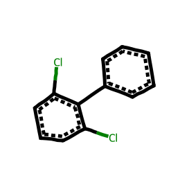 Clc1cccc(Cl)c1-c1ccccc1